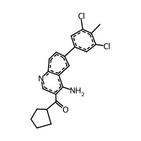 Cc1c(Cl)cc(-c2ccc3ncc(C(=O)C4CCCC4)c(N)c3c2)cc1Cl